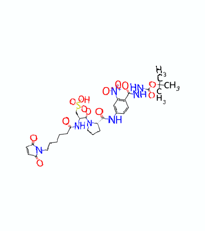 CC(C)(C)OC(=O)NNC(=O)c1ccc(NC(=O)[C@@H]2CCCN2C(=O)[C@H](CS(=O)(=O)O)NC(=O)CCCCCN2C(=O)C=CC2=O)cc1[N+](=O)[O-]